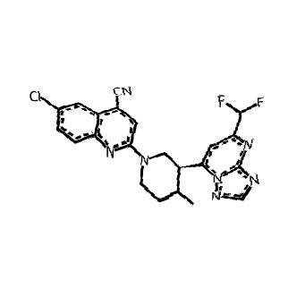 CC1CCN(c2cc(C#N)c3cc(Cl)ccc3n2)C[C@H]1c1cc(C(F)F)nc2ncnn12